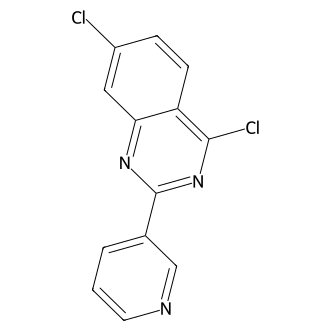 Clc1ccc2c(Cl)nc(-c3cccnc3)nc2c1